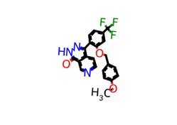 COc1ccc(COc2cc(C(F)(F)F)ccc2-c2n[nH]c(=O)c3cnccc23)cc1